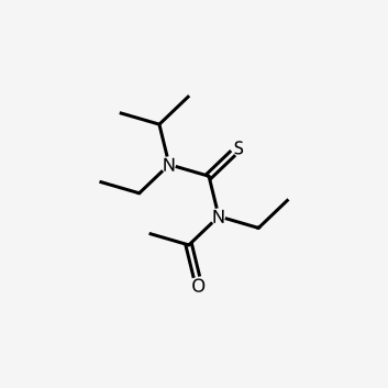 CCN(C(C)=O)C(=S)N(CC)C(C)C